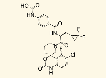 O=C(O)Nc1ccc(C(=O)N[C@@H](CC2CC2(F)F)C(=O)N2CCC[C@@]3(C2)OC(=O)Nc2ccc(Cl)c(F)c23)cc1